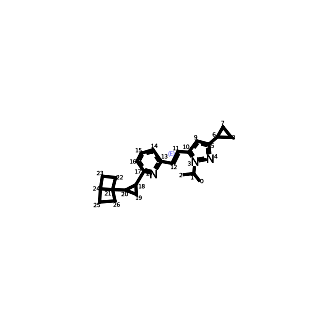 CC(C)n1nc(C2CC2)cc1/C=C/c1cccc(C2CC2C23CCC2CC3)n1